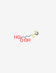 O=C(O)CC(O)CCCSc1cccs1